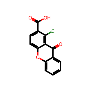 O=C(O)c1ccc2oc3ccccc3c(=O)c2c1Cl